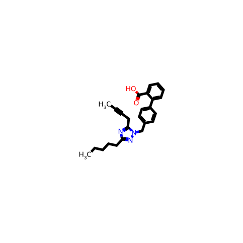 CC#CCc1nc(CCCCC)nn1Cc1ccc(-c2ccccc2C(=O)O)cc1